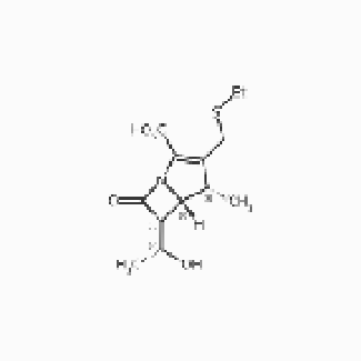 CCSCC1=C(C(=O)O)N2C(=O)[C@H]([C@@H](C)O)[C@H]2[C@H]1C